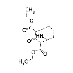 CCOC(=O)C1C(=O)C(C(=O)OCC)C2CCCC1N2